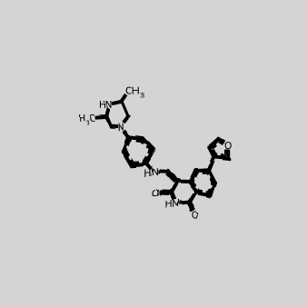 CC1CN(c2ccc(NC=C3C(=O)NC(=O)c4ccc(-c5ccoc5)cc43)cc2)CC(C)N1